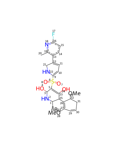 CCCCC1NC(O)C(S(=O)(=O)C2=CC=C(c3ccc(F)nc3C)CN2)=C(O)C1C1=C(OC)C=CCC1OC